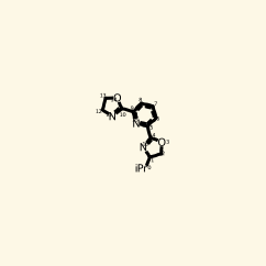 CC(C)C1COC(c2cccc(C3=NCCO3)n2)=N1